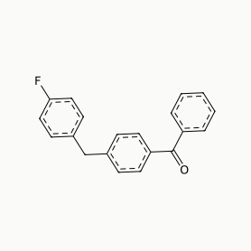 O=C(c1ccccc1)c1ccc(Cc2ccc(F)cc2)cc1